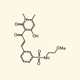 COCCNS(=O)(=O)c1cccc(/C=C/C(=O)c2c(O)cc(C)n(C)c2=O)c1